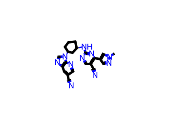 Cn1cc(-c2nc(N[C@@H]3CCC[C@H](n4cnc5cc(C#N)cnc54)C3)ncc2C#N)cn1